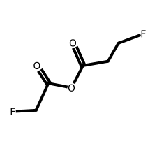 O=C(CF)OC(=O)CCF